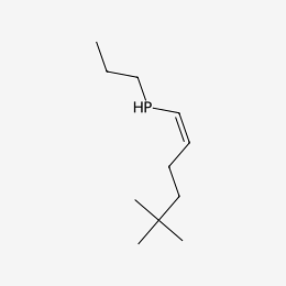 CCCP/C=C\CCC(C)(C)C